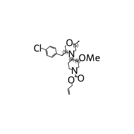 C=CCOC(=O)N1CC[C@@H](N2C[C@H](C)OC[C@@H]2Cc2ccc(Cl)cc2)[C@H](OC)C1